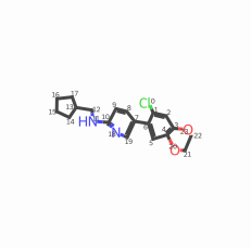 Clc1cc2c(cc1-c1ccc(NCC3CCCC3)nc1)OCCO2